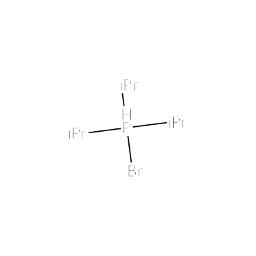 CC(C)[PH](Br)(C(C)C)C(C)C